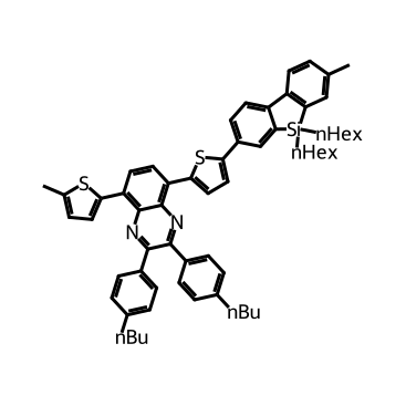 CCCCCC[Si]1(CCCCCC)c2cc(C)ccc2-c2ccc(-c3ccc(-c4ccc(-c5ccc(C)s5)c5nc(-c6ccc(CCCC)cc6)c(-c6ccc(CCCC)cc6)nc45)s3)cc21